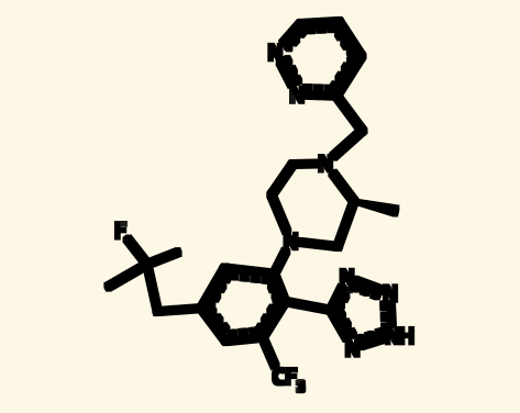 C[C@H]1CN(c2cc(CC(C)(C)F)cc(C(F)(F)F)c2-c2nn[nH]n2)CCN1Cc1cccnn1